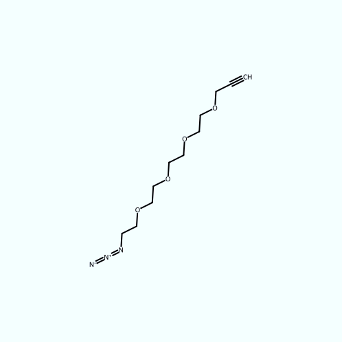 C#CCOCCOCCOCCOCCN=[N+]=[N-]